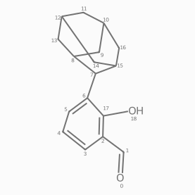 O=Cc1cccc(C2C3CC4CC(C3)CC2C4)c1O